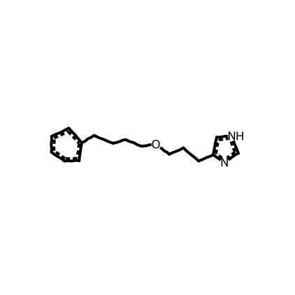 c1ccc(CCCCOCCCc2c[nH]cn2)cc1